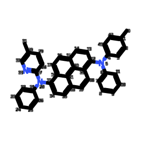 Cc1ccc(N(c2ccccc2)c2ccc3ccc4c(N(c5ccccc5)c5ccc(C)cn5)ccc5ccc2c3c54)cc1